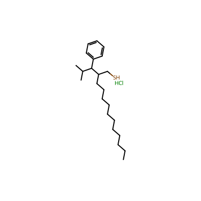 CCCCCCCCCCCC(CS)C(c1ccccc1)C(C)C.Cl